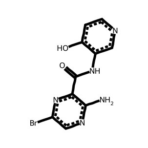 Nc1ncc(Br)nc1C(=O)Nc1cnccc1O